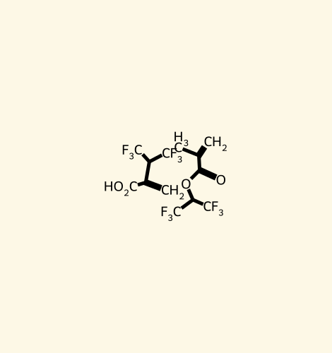 C=C(C(=O)O)C(C(F)(F)F)C(F)(F)F.C=C(C)C(=O)OC(C(F)(F)F)C(F)(F)F